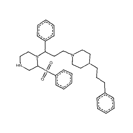 O=S(=O)(c1ccccc1)C1CNCCN1C(CCN1CCC(CCCc2ccccc2)CC1)c1ccccc1